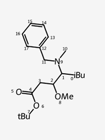 CCC(C)C(C(CC(=O)OC(C)(C)C)OC)N(C)Cc1ccccc1